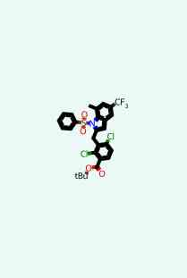 Cc1cc(C(F)(F)F)cc2cc(Cc3c(Cl)ccc(C(=O)OC(C)(C)C)c3Cl)n(S(=O)(=O)c3ccccc3)c12